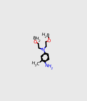 BOCCN(CCOB)c1ccc(N)c(C)c1